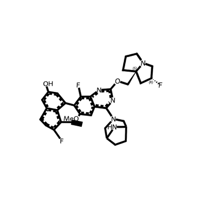 C#Cc1c(F)ccc2cc(O)cc(-c3c(OC)cc4c(N5CC6CCC(C5)N6)nc(OC[C@@]56CCCN5C[C@H](F)C6)nc4c3F)c12